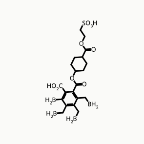 BCc1c(B)c(C(=O)O)c(C(=O)OC2CCC(C(=O)OCCS(=O)(=O)O)CC2)c(CB)c1CB